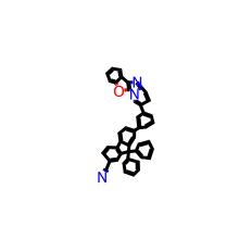 N#Cc1ccc2c(c1)C(c1ccccc1)(c1ccccc1)c1cc(-c3cccc(-c4ccc5nc6c7ccccc7oc6n5c4)c3)ccc1-2